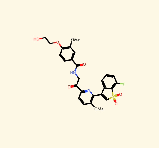 COc1cc(C(=O)NCC(=O)c2ccc(OC)c(C3=CS(=O)(=O)c4c(F)cccc43)n2)ccc1OCCO